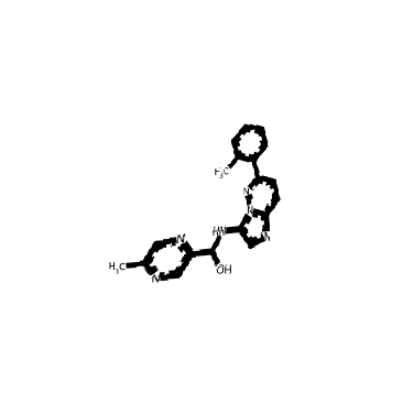 Cc1cnc(C(O)Nc2cnc3ccc(-c4ccccc4C(F)(F)F)nn23)cn1